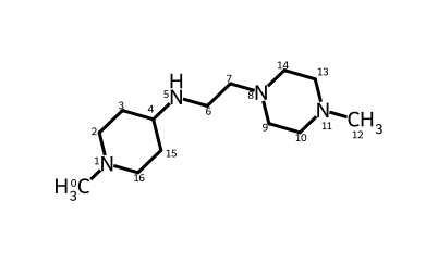 CN1CCC(NCCN2CCN(C)CC2)CC1